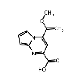 C=C(OC)c1cc(C(=O)O)nc2cccn12